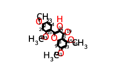 COc1ccc(-c2oc3cc(OC)cc(OC)c3c(=O)c2O)c(OC)c1